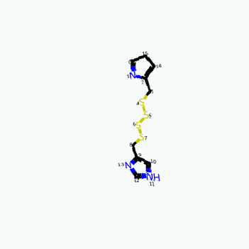 C1=NC(CSSSSCc2c[nH]cn2)=CC1